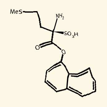 CSCC[C@](N)(C(=O)Oc1cccc2ccccc12)S(=O)(=O)O